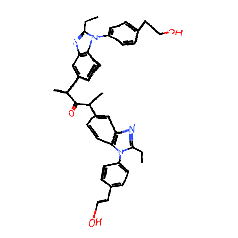 CCc1nc2cc(C(C)C(=O)C(C)c3ccc4c(c3)nc(CC)n4-c3ccc(CCO)cc3)ccc2n1-c1ccc(CCO)cc1